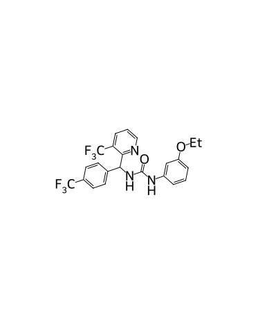 CCOc1cccc(NC(=O)NC(c2ccc(C(F)(F)F)cc2)c2ncccc2C(F)(F)F)c1